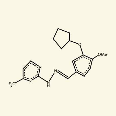 COc1ccc(/C=N/Nc2nccc(C(F)(F)F)n2)cc1OC1CCCC1